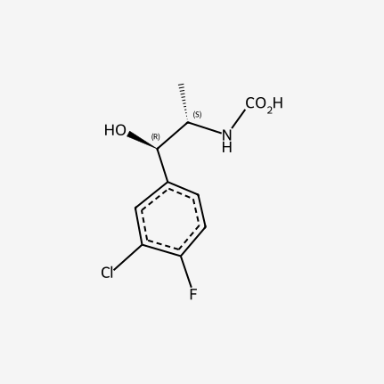 C[C@H](NC(=O)O)[C@H](O)c1ccc(F)c(Cl)c1